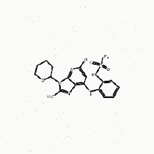 Cc1nc2c(Nc3ccccc3NS(C)(=O)=O)cc(Cl)nc2n1C1CCCCO1